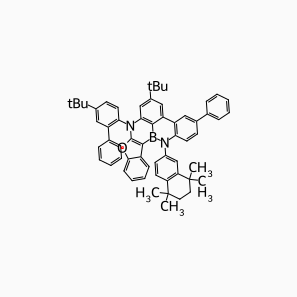 CC(C)(C)c1ccc(N2c3cc(C(C)(C)C)cc4c3B(c3c2oc2ccccc32)N(c2ccc3c(c2)C(C)(C)CCC3(C)C)c2ccc(-c3ccccc3)cc2-4)c(-c2ccccc2)c1